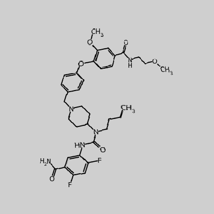 CCCCN(C(=O)Nc1cc(C(N)=O)c(F)cc1F)C1CCN(Cc2ccc(Oc3ccc(C(=O)NCCOC)cc3OC)cc2)CC1